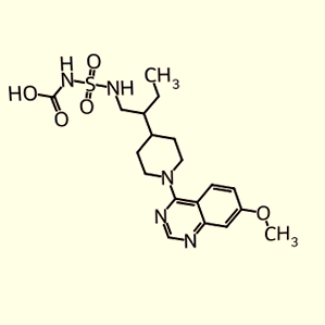 CCC(CNS(=O)(=O)NC(=O)O)C1CCN(c2ncnc3cc(OC)ccc23)CC1